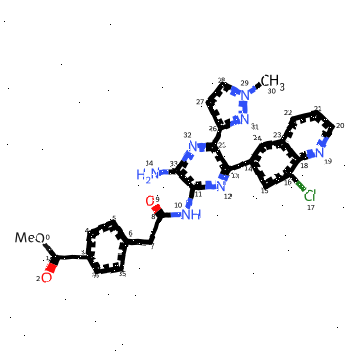 COC(=O)c1ccc(CC(=O)Nc2nc(-c3cc(Cl)c4ncccc4c3)c(-c3ccn(C)n3)nc2N)cc1